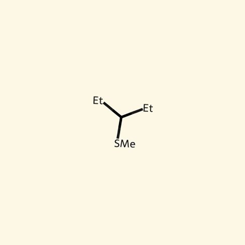 [CH2]CC(CC)SC